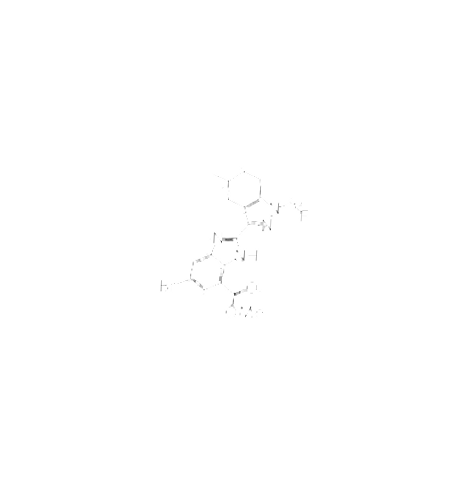 COC(=O)c1cc(Br)cc2nc(-c3nn(SF)c4c3CC(C)CC4)[nH]c12